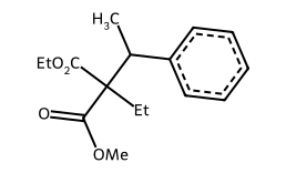 CCOC(=O)C(CC)(C(=O)OC)C(C)c1ccccc1